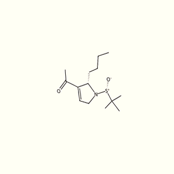 CCCC[C@H]1C(C(C)=O)=CCN1[S@+]([O-])C(C)(C)C